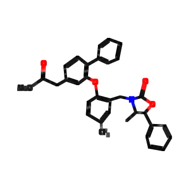 COC(=O)Cc1ccc(-c2ccccc2)c(Oc2ccc(C(F)(F)F)cc2CN2C(=O)OC(c3ccccc3)C2C)c1